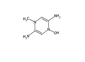 CN1C=C(N)N(O)C=C1N